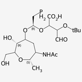 CC(=O)NC1CC(O[C@@H](CP)OC(C(=O)O)C(C=O)OC(C)(C)C)[C@@H](O)C(CO)O[C@H]1C